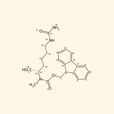 CN(C(=O)OCC1c2ccccc2-c2ccccc21)[C@@H](CCCCNC(N)=O)C(=O)O